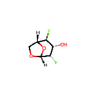 O[C@@H]1[C@H](F)[C@@H]2OC[C@@H](O2)[C@H]1F